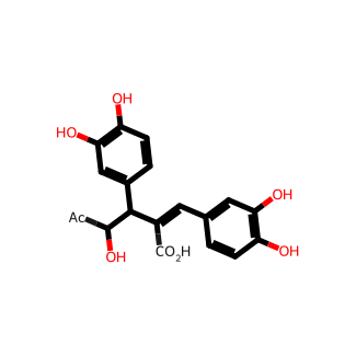 CC(=O)C(O)C(/C(=C/c1ccc(O)c(O)c1)C(=O)O)c1ccc(O)c(O)c1